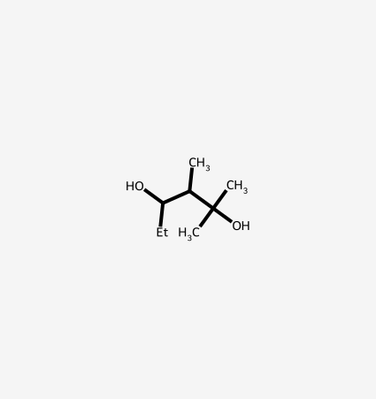 CCC(O)C(C)C(C)(C)O